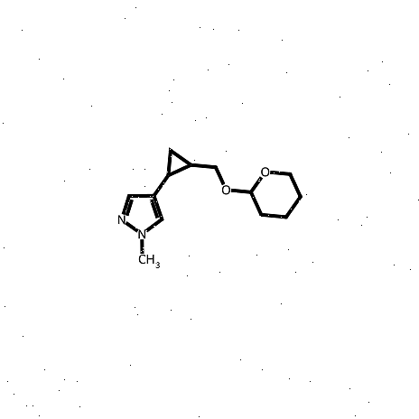 Cn1cc(C2CC2COC2CCCCO2)cn1